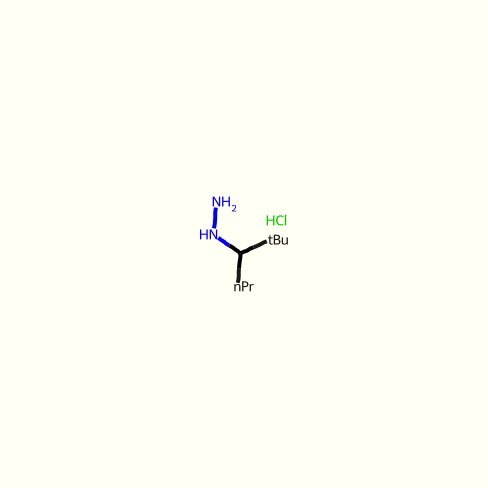 CCCC(NN)C(C)(C)C.Cl